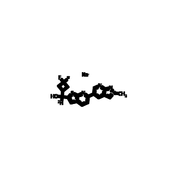 [2H]C(O)(c1cc2ccc(-c3cnc4nn(C)cc4c3)nc2s1)C1CC(F)(F)C1.[Na]